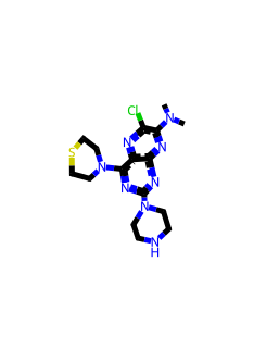 CN(C)c1nc2nc(N3CCNCC3)nc(N3CCSCC3)c2nc1Cl